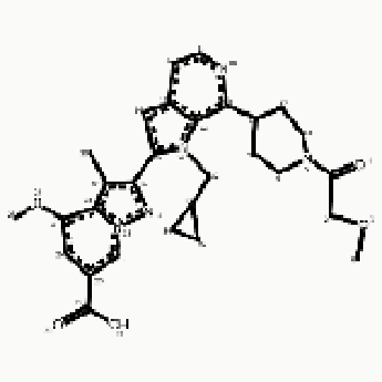 COCC(=O)N1CCC(c2nccc3cc(-c4nn5cc(C(=O)O)cc(OC)c5c4C)n(CC4CC4)c23)CC1